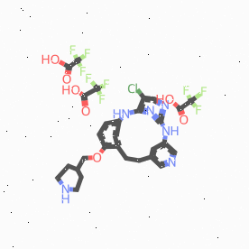 Clc1cnc2nc1Nc1ccc(OCC3CCNCC3)c(c1)CCc1cncc(c1)N2.O=C(O)C(F)(F)F.O=C(O)C(F)(F)F.O=C(O)C(F)(F)F